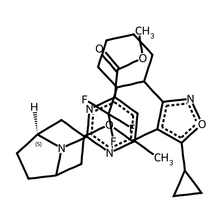 COC(=O)c1cc(C)nc(N2C3CC[C@H]2CC(OCc2c(C4CCCCC4C(F)(F)F)noc2C2CC2)C3)n1